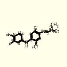 CCN(C)C=Nc1cc(Cl)c(Nc2ccc(F)c(F)c2)cc1Cl